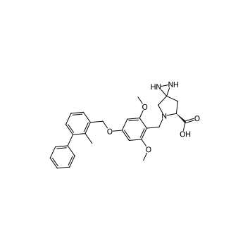 COc1cc(OCc2cccc(-c3ccccc3)c2C)cc(OC)c1CN1CC2(C[C@H]1C(=O)O)NN2